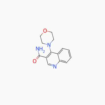 NC(=O)c1cnc2ccccc2c1N1CCOCC1